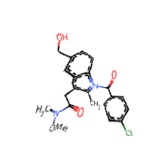 CON(C)C(=O)Cc1c(C)n(C(=O)c2ccc(Cl)cc2)c2ccc(CO)cc12